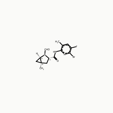 Cc1cc(F)c(Br)nc1NC(=O)[C@@H]1C[C@@]2(C)C[C@H]2N1C=O